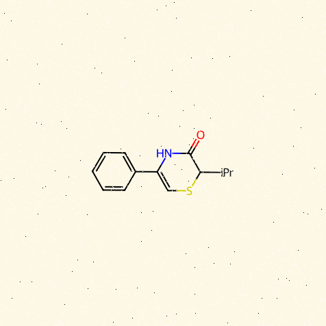 CC(C)C1SC=C(c2ccccc2)NC1=O